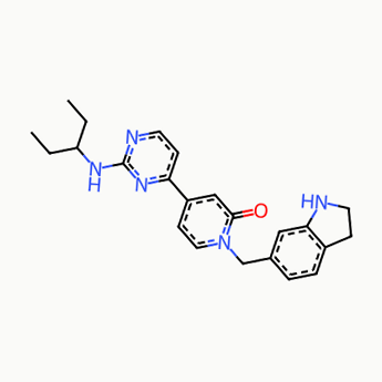 CCC(CC)Nc1nccc(-c2ccn(Cc3ccc4c(c3)NCC4)c(=O)c2)n1